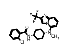 CN(c1cccc2nc(C(F)(F)F)cn12)[C@H]1CC[C@@H](NC(=O)c2ccccc2Cl)CC1